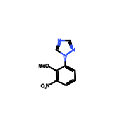 COc1c(-n2cncn2)cccc1[N+](=O)[O-]